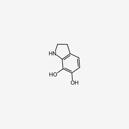 Oc1ccc2c(c1O)NCC2